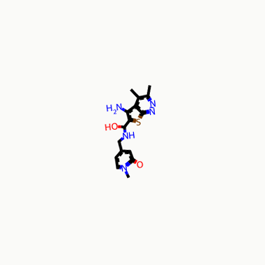 Cc1nnc2sc(C(O)NCc3ccn(C)c(=O)c3)c(N)c2c1C